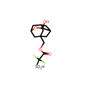 O=C(OCC12CC3CC(C1)OC(O)C(C3)C2)C(F)(F)S(=O)(=O)O